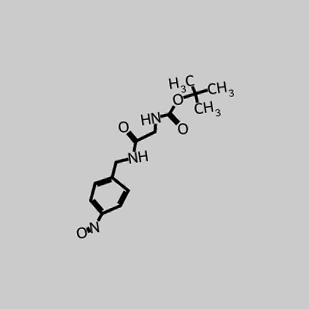 CC(C)(C)OC(=O)NCC(=O)NCc1ccc(N=O)cc1